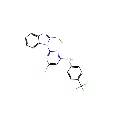 CSc1nc2ccccc2n1-c1nc(N)cc(Nc2ccc(C(F)(F)F)cc2)n1